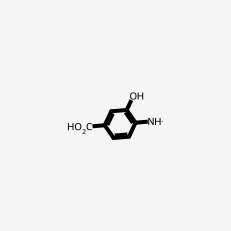 [NH]c1ccc(C(=O)O)cc1O